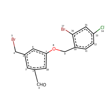 O=Cc1cc(CBr)cc(OCc2ccc(Cl)cc2Br)c1